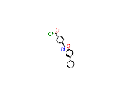 O=C(Cl)c1ccc(-c2nc3cc(C4CCCCC4)ccc3o2)cc1